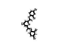 CC(=Nc1ccc(Br)cc1Br)c1cccc(C(C)=Nc2ccc(Br)cc2Br)n1.[Fe]